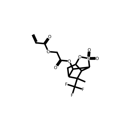 C=CC(=O)OCC(=O)OC1C2CC3OS(=O)(=O)C1C3C2(C)C(F)(F)F